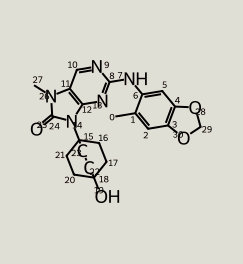 Cc1cc2c(cc1Nc1ncc3c(n1)n(C14CCC(O)(CC1)CC4)c(=O)n3C)OCO2